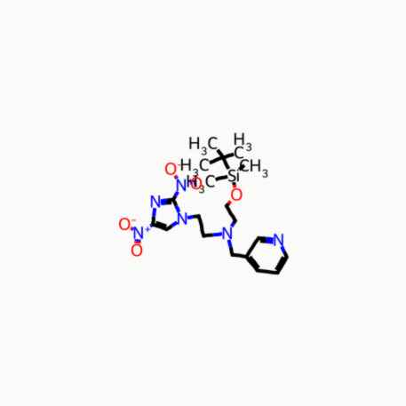 CC(C)(C)[Si](C)(C)OCCN(CCn1cc([N+](=O)[O-])nc1[N+](=O)[O-])Cc1cccnc1